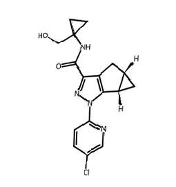 O=C(NC1(CO)CC1)c1nn(-c2ccc(Cl)cn2)c2c1C[C@@H]1C[C@H]21